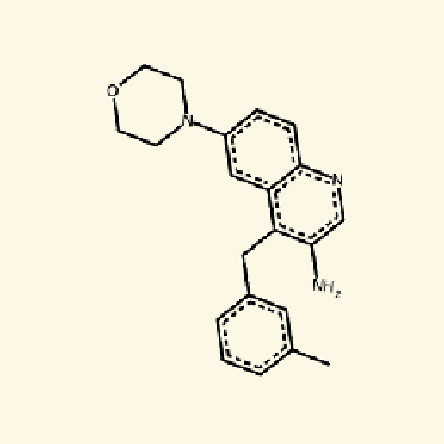 Cc1cccc(Cc2c(N)cnc3ccc(N4CCOCC4)cc23)c1